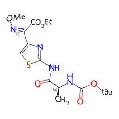 CCOC(=O)/C(=N\OC)c1csc(NC(=O)[C@H](C)NC(=O)OC(C)(C)C)n1